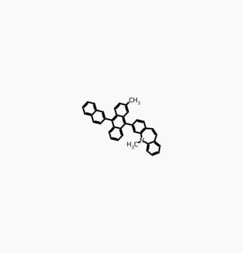 Cc1ccc2c(-c3ccc4ccccc4c3)c3ccccc3c(-c3ccc4c(c3)N(C)c3ccccc3C=C4)c2c1